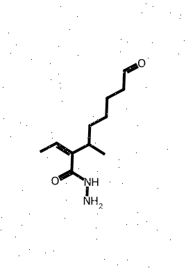 CC=C(C(=O)NN)C(C)CCCCC=O